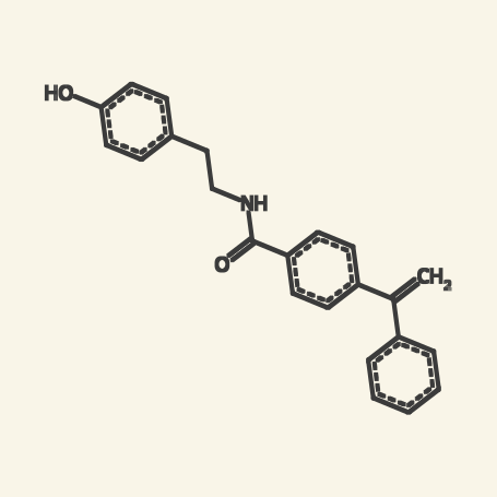 C=C(c1ccccc1)c1ccc(C(=O)NCCc2ccc(O)cc2)cc1